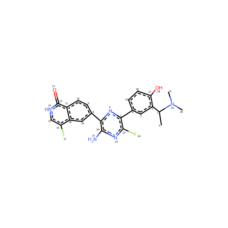 CC(c1cc(-c2nc(-c3ccc4c(=O)[nH]cc(F)c4c3)c(N)nc2F)ccc1O)N(C)C